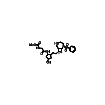 COC(=O)NCC(=O)NC1CC(O)CC1CC[C@@H]1SC2C1CNCCN2S(=O)(=O)c1ccccc1